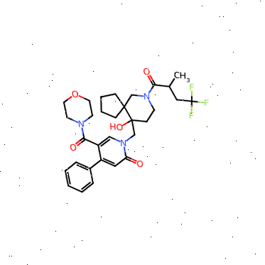 CC(CC(F)(F)F)C(=O)N1CCC(O)(Cn2cc(C(=O)N3CCOCC3)c(-c3ccccc3)cc2=O)C2(CCCC2)C1